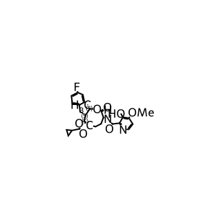 COc1ccnc(C(=O)NC2CCC[C@H](OC(=O)C3CC3)[C@@H](Cc3ccc(F)cc3)[C@H](C)OC2=O)c1O